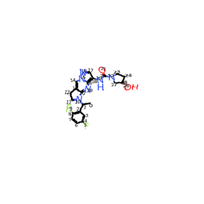 CC(c1cc(F)ccc1F)N1CCc2cn3ncc(NC(=O)N4CC[C@H](O)C4)c3nc21